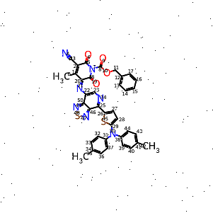 CC1=C(C#N)C(=O)N(C(=O)OCc2ccccc2)C(=O)/C1=N\c1cnc(-c2ccc(N(c3ccc(C)cc3)c3ccc(C)cc3)s2)c2nsnc12